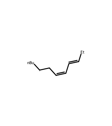 CCC=C/C=C\C[CH]CCCC